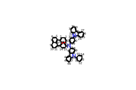 c1ccc(-c2cccc3cccc(-c4ccc(N(c5ccc(-n6c7ccccc7c7ccccc76)cc5)c5ccc6c(c5)c5ccccc5n6-c5ccccc5)cc4)c23)cc1